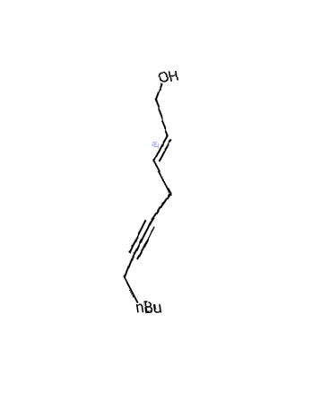 CCCCCC#CC/C=C/CO